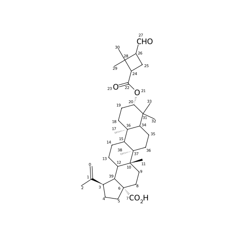 C=C(C)[C@@H]1CC[C@]2(C(=O)O)CC[C@]3(C)C(CCC4[C@@]5(C)CC[C@H](OC(=O)C6CC(C=O)C6(C)C)C(C)(C)C5CC[C@]43C)C12